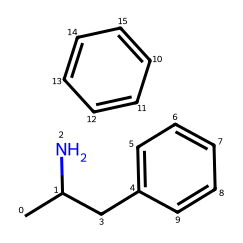 CC(N)Cc1ccccc1.c1ccccc1